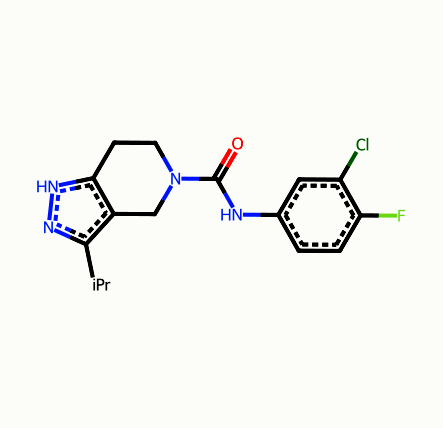 CC(C)c1n[nH]c2c1CN(C(=O)Nc1ccc(F)c(Cl)c1)CC2